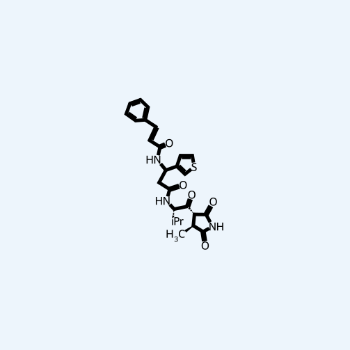 CC(C)[C@H](NC(=O)CC(NC(=O)/C=C/c1ccccc1)c1ccsc1)C(=O)[C@@H]1C(=O)NC(=O)[C@H]1C